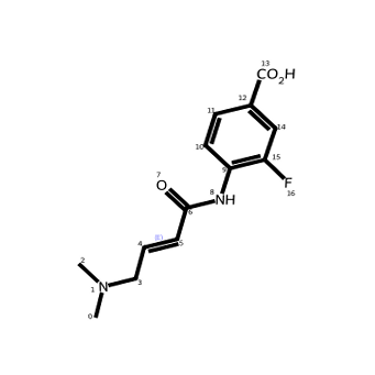 CN(C)C/C=C/C(=O)Nc1ccc(C(=O)O)cc1F